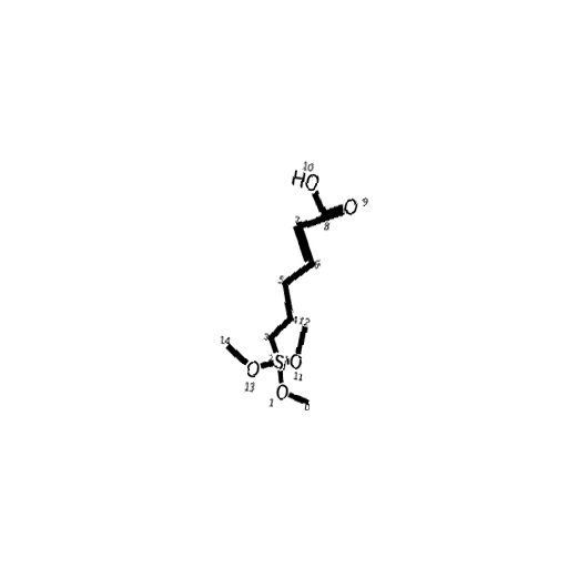 CO[Si](CCCC=CC(=O)O)(OC)OC